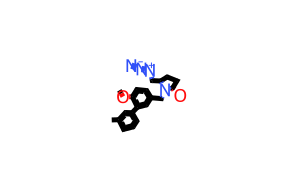 COc1ccc(CN2C(=O)CCC2CN=[N+]=[N-])cc1-c1cccc(C)c1